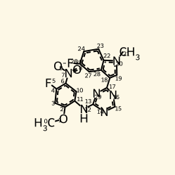 COc1cc(F)c([N+](=O)[O-])cc1Nc1ncnc(-c2cn(C)c3ccc(F)cc23)n1